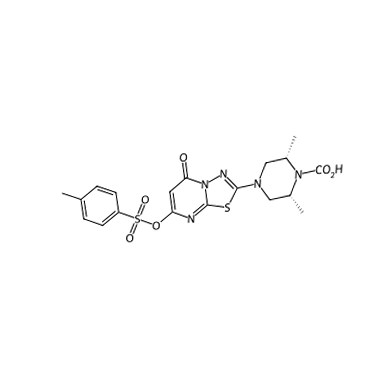 Cc1ccc(S(=O)(=O)Oc2cc(=O)n3nc(N4C[C@@H](C)N(C(=O)O)[C@@H](C)C4)sc3n2)cc1